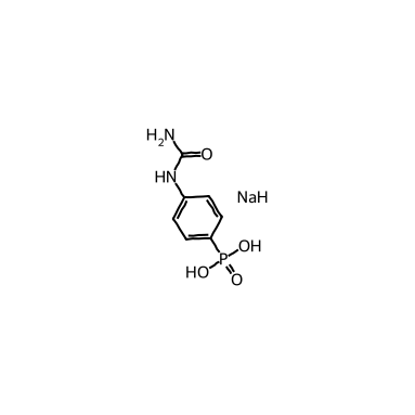 NC(=O)Nc1ccc(P(=O)(O)O)cc1.[NaH]